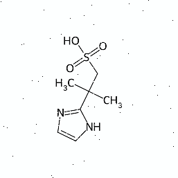 CC(C)(CS(=O)(=O)O)c1ncc[nH]1